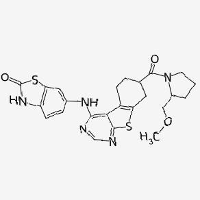 COCC1CCCN1C(=O)C1CCc2c(sc3ncnc(Nc4ccc5[nH]c(=O)sc5c4)c23)C1